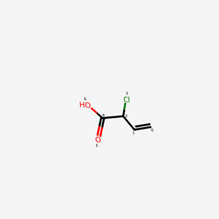 C=CC(Cl)C(=O)O